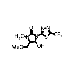 COCC1C(O)N(c2nnc(C(F)(F)F)s2)C(=O)N1C